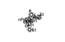 CCCC(CCC)S(=O)(=O)CC(NC(=O)c1cccc(CC)c1)C(=O)N[C@@H](Cc1cc(F)cc(F)c1)[C@H](O)CNCc1cccc(CC)c1